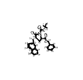 CC(C)(C)OC(=O)N1C(=O)[C@@H](Cc2ccc3ccccc3c2)C[C@@H]1C(=O)OCc1ccccc1